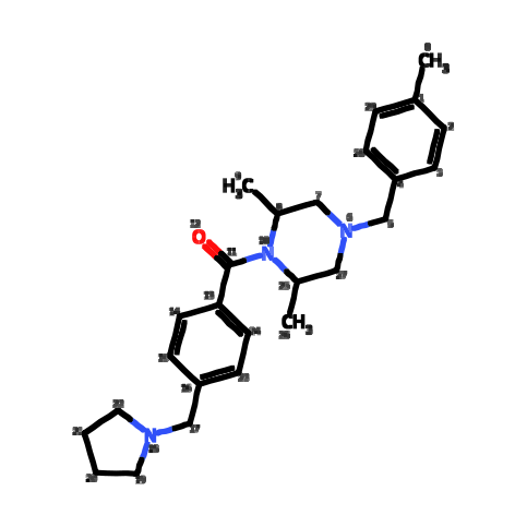 Cc1ccc(CN2CC(C)N(C(=O)c3ccc(CN4CCCC4)cc3)C(C)C2)cc1